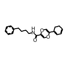 O=C(NCCCCc1ccccc1)C1=COC(C2=CC=CCC2)=CO1